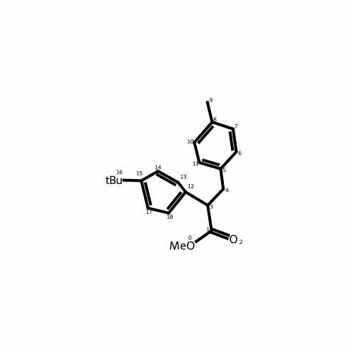 COC(=O)C(Cc1ccc(C)cc1)c1ccc(C(C)(C)C)cc1